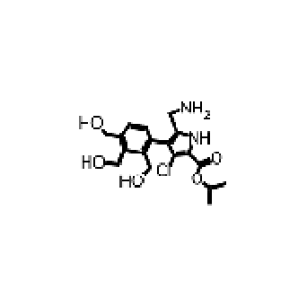 CC(C)OC(=O)c1[nH]c(CN)c(-c2ccc(CO)c(CO)c2CO)c1Cl